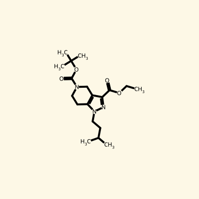 CCOC(=O)c1nn(CCC(C)C)c2c1CN(C(=O)OC(C)(C)C)CC2